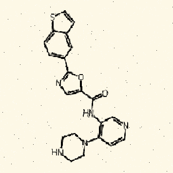 O=C(Nc1cnccc1N1CCNCC1)c1cnc(-c2ccc3sccc3c2)o1